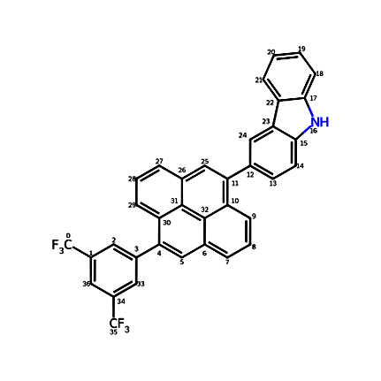 FC(F)(F)c1cc(-c2cc3cccc4c(-c5ccc6[nH]c7ccccc7c6c5)cc5cccc2c5c34)cc(C(F)(F)F)c1